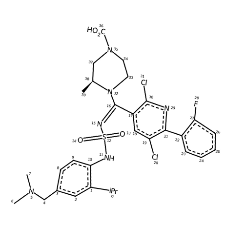 CC(C)c1cc(CN(C)C)ccc1NS(=O)(=O)/N=C(\c1cc(Cl)c(-c2ccccc2F)nc1Cl)N1CCN(C(=O)O)C[C@@H]1C